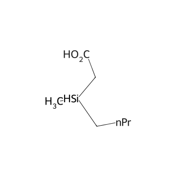 CCCC[SiH](C)CC(=O)O